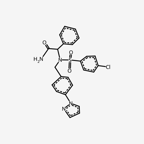 NC(=O)C(c1ccccc1)N(Cc1ccc(-n2cccn2)cc1)S(=O)(=O)c1ccc(Cl)cc1